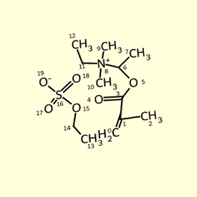 C=C(C)C(=O)OC(C)[N+](C)(C)CC.CCOS(=O)(=O)[O-]